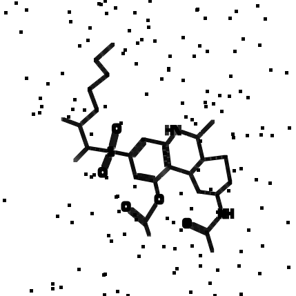 CCCCCC(C)C(C)S(=O)(=O)c1cc2c(c(OC(C)=O)c1)C1CC(NC(C)=O)CCC1C(C)N2